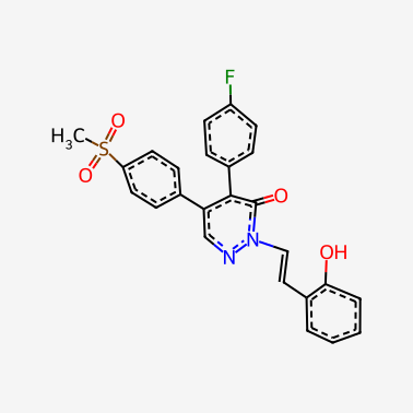 CS(=O)(=O)c1ccc(-c2cnn(C=Cc3ccccc3O)c(=O)c2-c2ccc(F)cc2)cc1